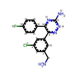 NCc1cc(Cl)cc(-c2nnc(N)nc2-c2ccc(F)cc2)c1